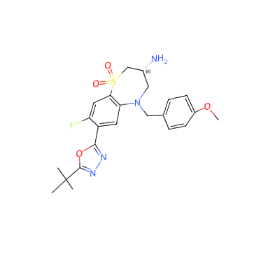 COc1ccc(CN2C[C@@H](N)CS(=O)(=O)c3cc(F)c(-c4nnc(C(C)(C)C)o4)cc32)cc1